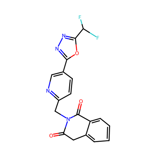 O=C1Cc2ccccc2C(=O)N1Cc1ccc(-c2nnc(C(F)F)o2)cn1